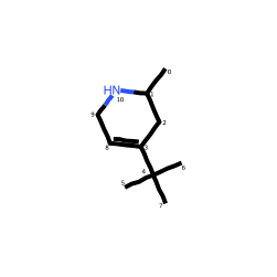 CC1CC(C(C)(C)C)=CCN1